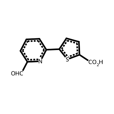 O=Cc1cccc(-c2ccc(C(=O)O)s2)n1